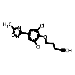 C#CCCCOc1c(Cl)cc(-c2noc(C)n2)cc1Cl